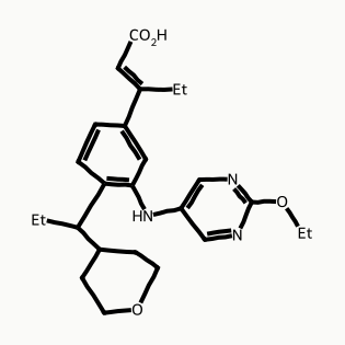 CCOc1ncc(Nc2cc(/C(=C/C(=O)O)CC)ccc2C(CC)C2CCOCC2)cn1